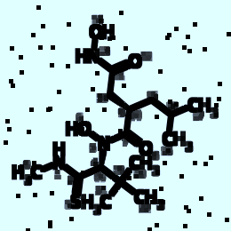 CNC(=S)[C@@H](N(O)C(=O)[C@@H](CC(=O)NO)CC(C)C)C(C)(C)C